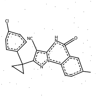 Cc1ccc2c(c1)c(=O)[nH]c1c(C#N)c(C3(c4ccc(Cl)cc4)CC3)nn12